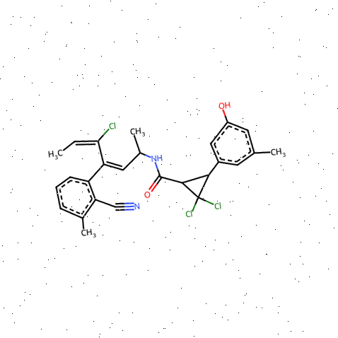 C/C=C(Cl)\C(=C/C(C)NC(=O)C1C(c2cc(C)cc(O)c2)C1(Cl)Cl)c1cccc(C)c1C#N